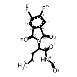 CCCC(C(=O)NC=O)N1C(=O)c2cc(F)c(F)cc2C1=O